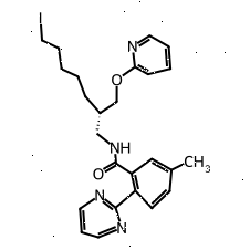 Cc1ccc(-c2ncccn2)c(C(=O)NC[C@H](CCCCCI)COc2ccccn2)c1